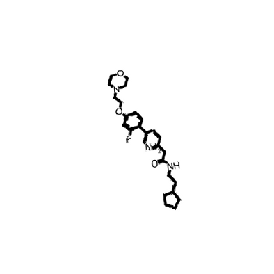 C=C(/C=C\C(=C/N)c1ccc(OCCN2CCOCC2)cc1F)CC(=O)NCCC1CCCC1